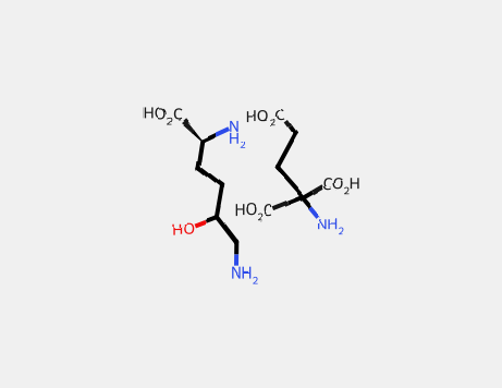 NC(CCC(=O)O)(C(=O)O)C(=O)O.NCC(O)CC[C@H](N)C(=O)O